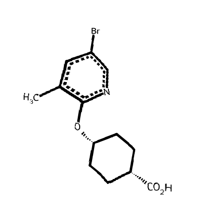 Cc1cc(Br)cnc1O[C@H]1CC[C@@H](C(=O)O)CC1